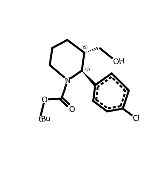 CC(C)(C)OC(=O)N1CCC[C@H](CO)[C@H]1c1ccc(Cl)cc1